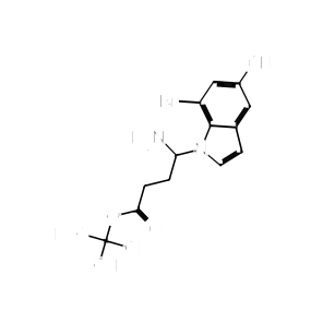 Cc1cc(Br)c2c(ccn2C(N)CCC(=O)OC(C)(C)C)c1